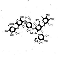 CC(=O)N[C@H]1[C@H](O[C@H]2[C@@H](O)[C@@H](CO)O[C@@H](O[C@@H]([C@H](O[C@@H]3O[C@@H](C)[C@@H](O)[C@@H](O)[C@@H]3O)[C@H](O)C=O)[C@H](O)CO)[C@@H]2O)O[C@H](CO)[C@@H](O[C@@H]2O[C@@H](C)[C@@H](O)[C@@H](O)[C@@H]2O)[C@@H]1O[C@@H]1O[C@H](CO)[C@H](O)[C@H](O)[C@H]1O